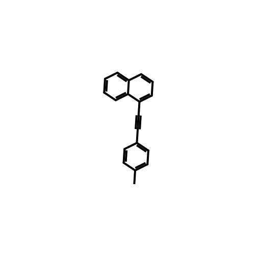 Cc1ccc(C#Cc2cccc3ccccc23)cc1